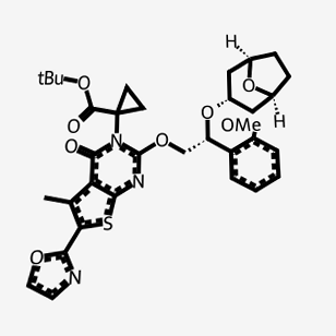 COc1ccccc1[C@H](COc1nc2sc(-c3ncco3)c(C)c2c(=O)n1C1(C(=O)OC(C)(C)C)CC1)O[C@@H]1C[C@H]2CC[C@@H](C1)O2